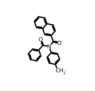 [CH2]c1ccc(N(C(=O)c2ccccc2)C(=O)c2ccc3ccccc3c2)cc1